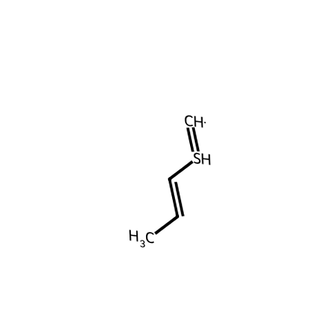 [CH]=[SH]C=CC